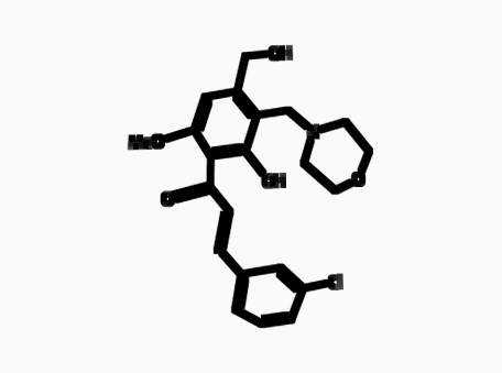 COc1cc(CO)c(CN2CCOCC2)c(O)c1C(=O)/C=C/c1cccc(Cl)c1